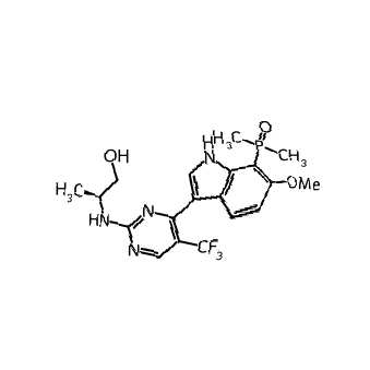 COc1ccc2c(-c3nc(N[C@@H](C)CO)ncc3C(F)(F)F)c[nH]c2c1P(C)(C)=O